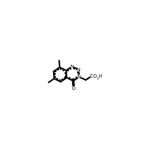 Cc1cc(C)c2nnn(CC(=O)O)c(=O)c2c1